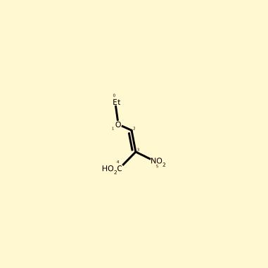 CCO/C=C(\C(=O)O)[N+](=O)[O-]